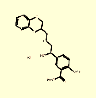 COC(=O)c1cc(C(O)CNCC2COc3ccccc3O2)ccc1OC.Cl